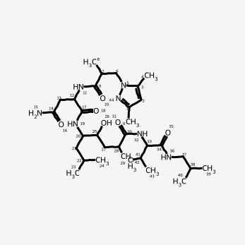 Cc1cc(C)n(CC(C)C(=O)NC(CC(N)=O)C(=O)NC(CC(C)C)C(O)CC(C)C(=O)NC(C(=O)NCC(C)C)C(C)C)n1